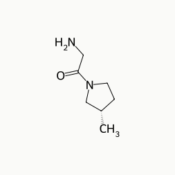 C[C@H]1CCN(C(=O)CN)C1